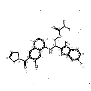 CC(C)C(=O)OC[C@H](Nc1ncnc2cc(C(=O)N3CC=CC3)c(Cl)cc12)c1nc2cc(Cl)ccc2[nH]1